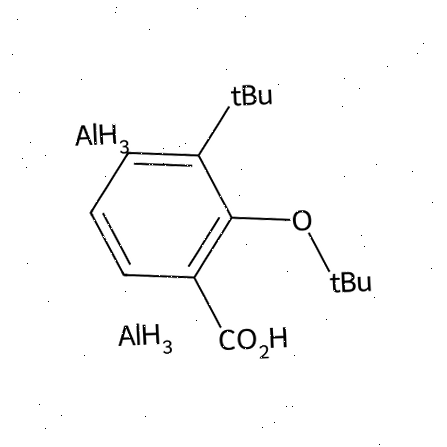 CC(C)(C)Oc1c(C(=O)O)cccc1C(C)(C)C.[AlH3].[AlH3]